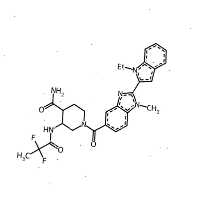 CCn1c(-c2nc3cc(C(=O)N4CCC(C(N)=O)C(NC(=O)C(C)(F)F)C4)ccc3n2C)cc2ccccc21